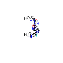 Cn1ncc2cc(F)c(-c3nccc4c3cnn4CC(=O)NCC(=O)NCC(=O)O)cc21